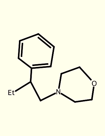 CCC(CN1CCOCC1)c1ccccc1